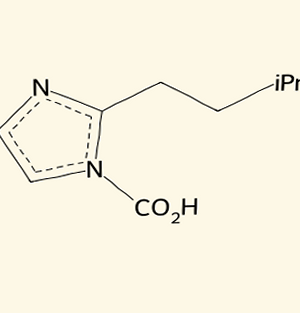 CC(C)CCc1nccn1C(=O)O